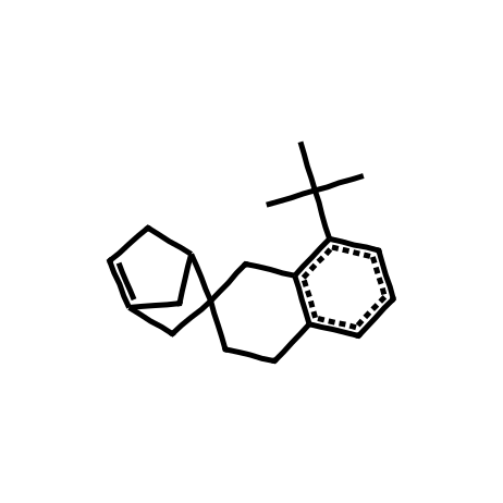 CC(C)(C)c1cccc2c1CC1(CC2)CC2=CCC1C2